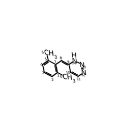 Cc1cccc(C)c1C=C1C=CN=NN1